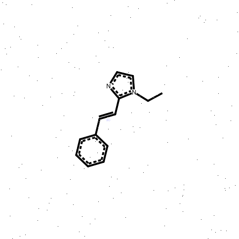 CCn1ccnc1/C=C/c1ccccc1